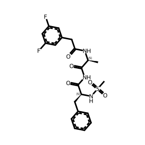 C[C@H](NC(=O)Cc1cc(F)cc(F)c1)C(=O)NC(=O)[C@H](Cc1ccccc1)NS(C)(=O)=O